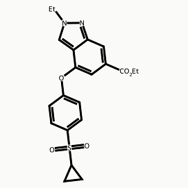 CCOC(=O)c1cc(Oc2ccc(S(=O)(=O)C3CC3)cc2)c2cn(CC)nc2c1